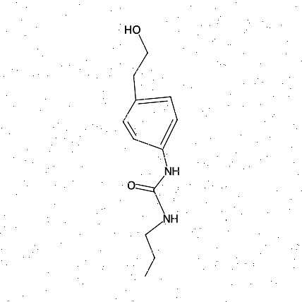 CCCNC(=O)Nc1ccc(CCO)cc1